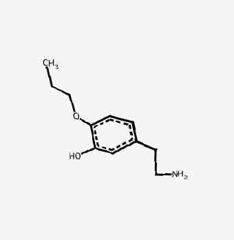 CCCOc1ccc(CCN)cc1O